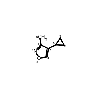 Cc1no[c]c1C1CC1